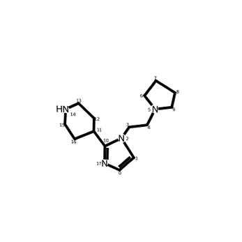 c1cn(CCN2CCCC2)c(C2CCNCC2)n1